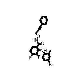 Cc1cc(Br)ccc1Nc1c(C(=O)NOCC#Cc2ccccc2)ccc(F)c1F